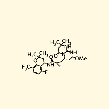 COCC[C@H]([C@@H]1C[C@H]1C(=O)N[C@H]1CC(C)(C)Oc2c(C(F)(F)F)ccc(F)c21)N1C(=N)NC(C)(C)CC1=O